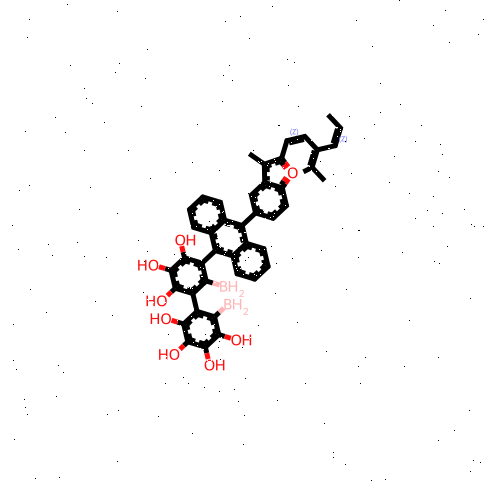 Bc1c(O)c(O)c(O)c(O)c1-c1c(B)c(-c2c3ccccc3c(-c3ccc4oc(/C=C\C(/C=C\C)=C(C)C)c(C)c4c3)c3ccccc23)c(O)c(O)c1O